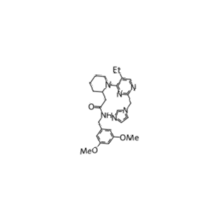 CCc1cnc(Cn2ccnc2)nc1N1CCCCC1CC(=O)NCc1cc(OC)cc(OC)c1